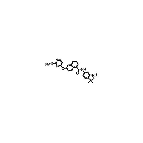 CNc1nccc(Oc2ccc3c(C(=O)Nc4ccc5c(c4)NCC5(C)C)cccc3c2)n1